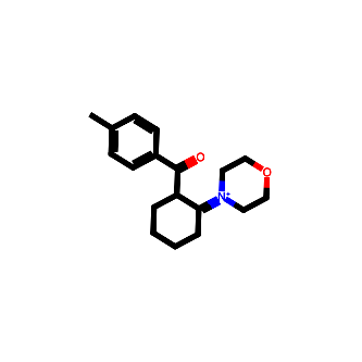 Cc1ccc(C(=O)C2CCCCC2=[N+]2CCOCC2)cc1